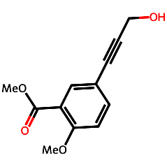 COC(=O)c1cc(C#CCO)ccc1OC